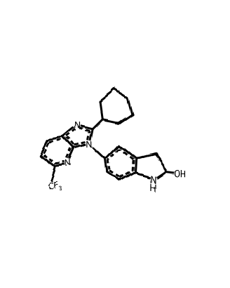 OC1Cc2cc(-n3c(C4CCCCC4)nc4ccc(C(F)(F)F)nc43)ccc2N1